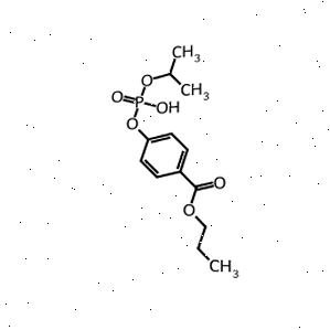 CCCOC(=O)c1ccc(OP(=O)(O)OC(C)C)cc1